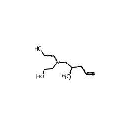 C=CCC(O)CN(CCO)CCO